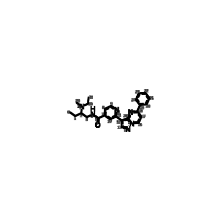 CCC(CNC(=O)c1ccnc(-c2cnn3ccc(-c4ccccc4)nc23)c1)N(C)CC